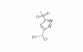 CCC(Cl)c1nnc(S(C)(=O)=O)s1